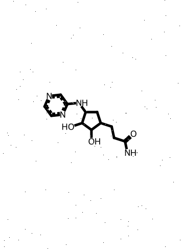 [NH]C(=O)CCC1CC(Nc2cnccn2)C(O)C1O